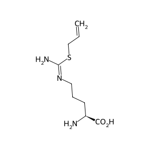 C=CCSC(N)=NCCC[C@H](N)C(=O)O